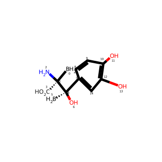 B[C@@](N)(C(=O)O)[C@](B)(O)c1ccc(O)c(O)c1